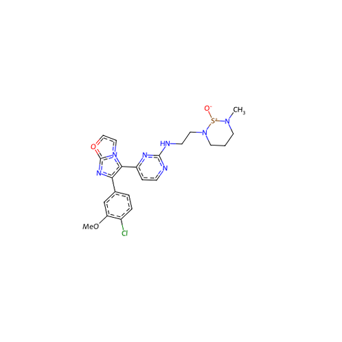 COc1cc(-c2nc3occn3c2-c2ccnc(NCCN3CCCN(C)[S+]3[O-])n2)ccc1Cl